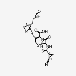 N#C[C@@H]1C[C@@H]1C(=S)NC1C(=O)N2C(C(=O)O)=C(CSc3nnnn3CCNC=O)CS[C@@H]12